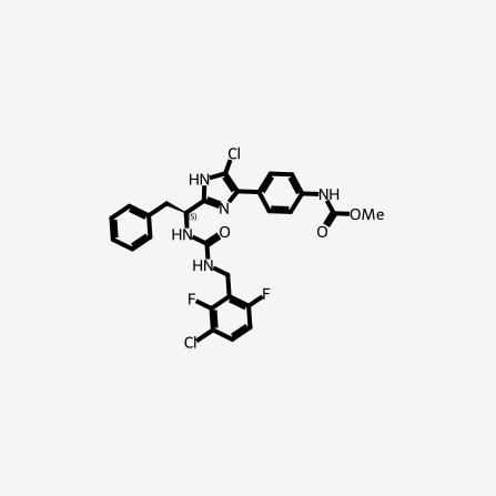 COC(=O)Nc1ccc(-c2nc([C@H](Cc3ccccc3)NC(=O)NCc3c(F)ccc(Cl)c3F)[nH]c2Cl)cc1